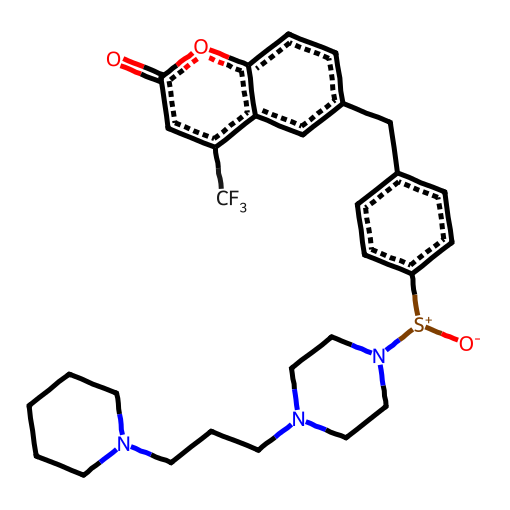 O=c1cc(C(F)(F)F)c2cc(Cc3ccc([S+]([O-])N4CCN(CCCN5CCCCC5)CC4)cc3)ccc2o1